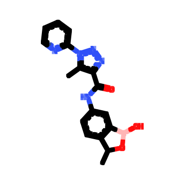 Cc1c(C(=O)Nc2ccc3c(c2)B(O)OC3C)nnn1-c1ccccn1